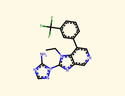 CCn1c(-n2ncnc2N)nc2cncc(-c3cccc(C(F)(F)F)c3)c21